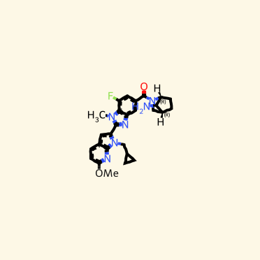 COc1ccc2cc(-c3nc4cc(C(=O)N5C[C@H]6CC[C@@H]5C6N)cc(F)c4n3C)n(CC3CC3)c2n1